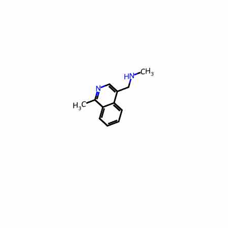 CNCc1cnc(C)c2ccccc12